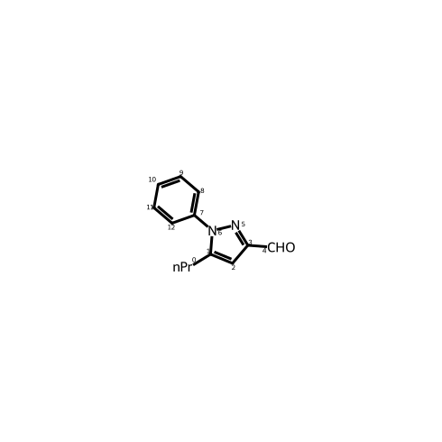 CCCc1cc(C=O)nn1-c1ccccc1